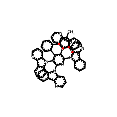 Cc1cc(-c2ccccc2-c2c(-n3c4ccccc4c4ncccc43)c(-n3c4ccccc4c4ncccc43)nc(-n3c4ccccc4c4ncccc43)c2-n2c3ccccc3c3ncccc32)cc(C)n1